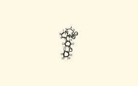 O=S1(=O)CCCN2C=CC=C(c3ccc(Oc4ccccc4)cc3)C2=N1